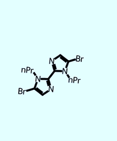 CCCn1c(Br)cnc1-c1ncc(Br)n1CCC